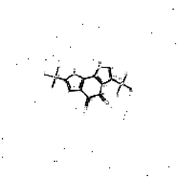 C[Si](C)(C)c1cc2c(s1)-c1scc([Si](C)(C)C)c1C(=O)C2=O